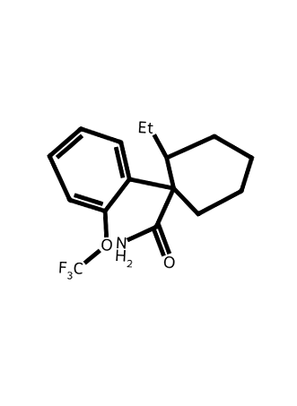 CCC1CCCCC1(C(N)=O)c1ccccc1OC(F)(F)F